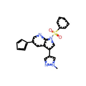 Cn1cc(-c2cn(S(=O)(=O)c3ccccc3)c3ncc(C4=C=CC=C4)cc23)cn1